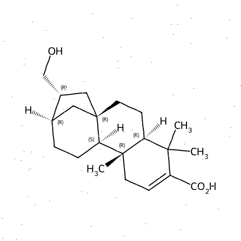 CC1(C)C(C(=O)O)=CC[C@@]2(C)[C@H]1CC[C@@]13C[C@@H](CO)[C@H](CC[C@@H]12)C3